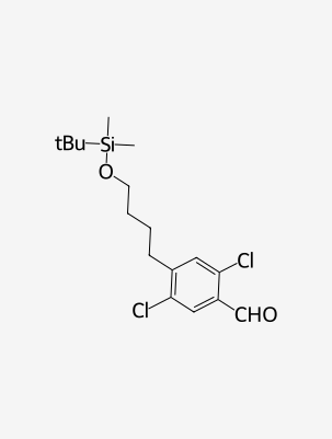 CC(C)(C)[Si](C)(C)OCCCCc1cc(Cl)c(C=O)cc1Cl